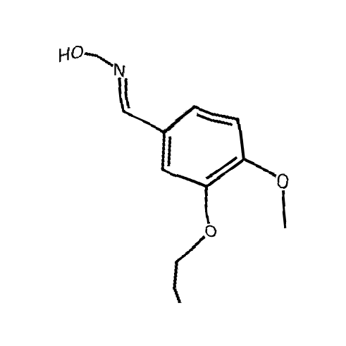 CCOc1cc(C=NO)ccc1OC